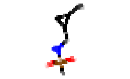 CC(C)C1CC1CNS(C)(=O)=O